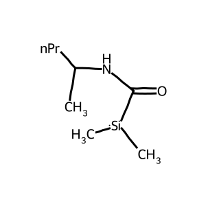 CCCC(C)NC(=O)[Si](C)C